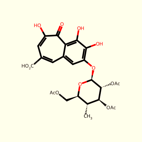 CC(=O)OC[C@H]1O[C@@H](Oc2cc3cc(C(=O)O)cc(O)c(=O)c3c(O)c2O)[C@H](OC(C)=O)[C@@H](OC(C)=O)[C@@H]1C